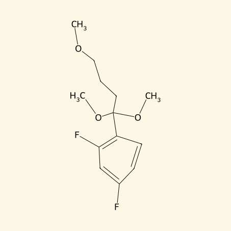 COCCCC(OC)(OC)c1ccc(F)cc1F